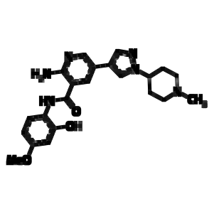 COc1ccc(NC(=O)c2cc(-c3cnn(C4CCN(C)CC4)c3)cnc2N)c(O)c1